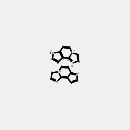 C1=Nc2c3ccnc-3ccn2C1.c1cn2ccc3[nH]ccc3c2n1